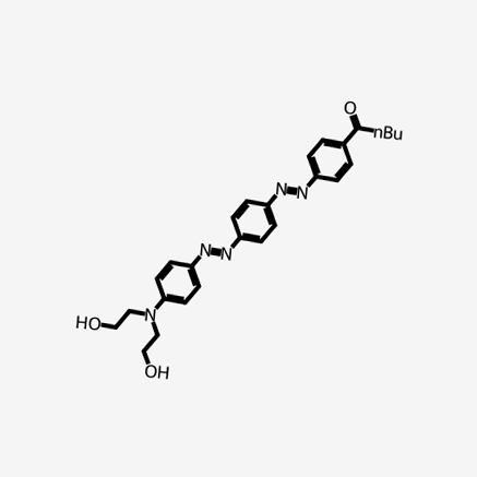 CCCCC(=O)c1ccc(N=Nc2ccc(N=Nc3ccc(N(CCO)CCO)cc3)cc2)cc1